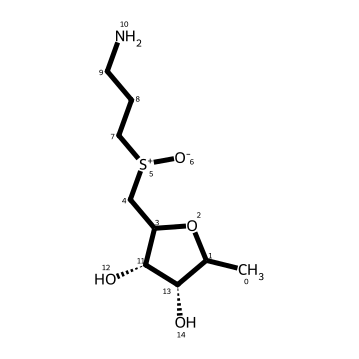 CC1OC(C[S+]([O-])CCCN)[C@@H](O)[C@H]1O